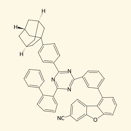 N#Cc1ccc2c(c1)oc1cccc(-c3cccc(-c4nc(-c5ccc(C67C[C@H]8C[C@@H](C6)C[C@@H](C7)C8)cc5)nc(-c5ccccc5-c5ccccc5)n4)c3)c12